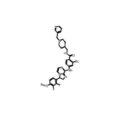 CCc1cc(NC2=NC=CN3C2=NCC3c2ccc(OC)c(F)c2F)ccc1C(=O)NCC1CCN(Cc2cccnc2)CC1